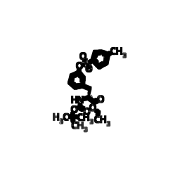 CCOC(=O)[C@H](Cc1cccc(OS(=O)(=O)c2ccc(C)cc2)c1)NC(=O)OC(C)(C)C